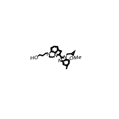 COc1cc(C)cc2nc(-c3cc4cccc5c4n3CCN5CCCO)n(CC3CC3)c12